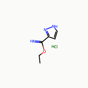 CCOC(=N)c1cc[nH]n1.Cl